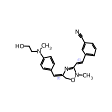 CN1OC/C(=C/c2ccc(N(C)CCO)cc2)N=C1/C=C/c1cccc(C#N)c1